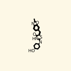 Cc1nc2ccc(C=C3SC(=NC4CCC(O)CC4)NC3=O)cc2o1